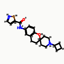 O=C(Nc1ccc2c(c1)CCC1(CCN(C3CCC3)CC1)O2)c1ccns1